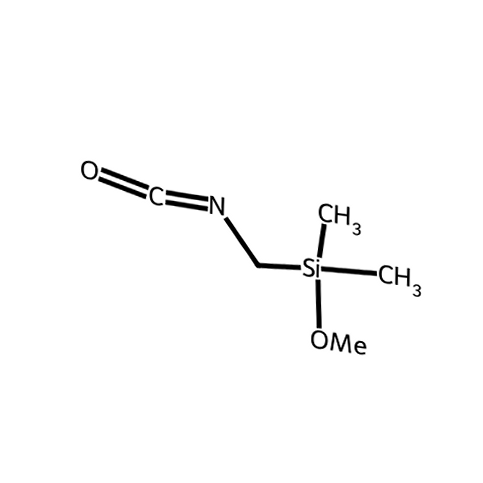 CO[Si](C)(C)CN=C=O